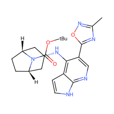 Cc1noc(-c2cnc3[nH]ccc3c2N[C@H]2C[C@H]3CC[C@@H](C2)N3C(=O)OC(C)(C)C)n1